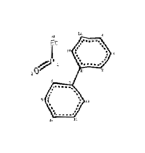 CCP=O.c1ccc(-c2ccccc2)cc1